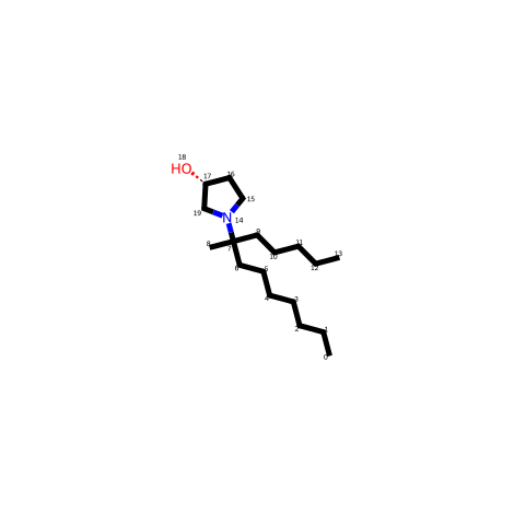 CCCCCCCC(C)(CCCCC)N1CC[C@@H](O)C1